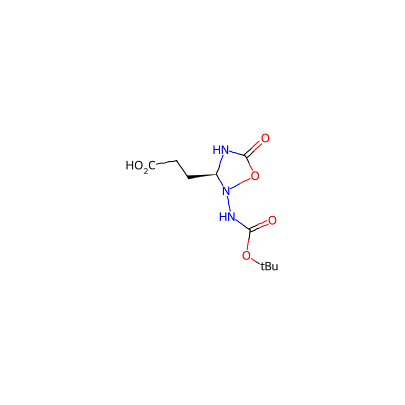 CC(C)(C)OC(=O)NN1OC(=O)N[C@@H]1CCC(=O)O